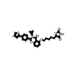 [2H]C(c1ccccc1OCCCCCC1OC(=O)NC1=O)N(C(=O)c1ccc(-c2ccco2)cc1)C1CC1